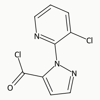 O=C(Cl)c1ccnn1-c1ncccc1Cl